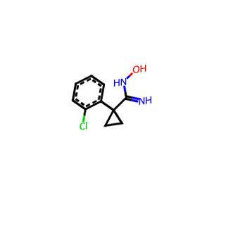 N=C(NO)C1(c2ccccc2Cl)CC1